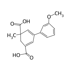 COc1cccc(C2=CC(C)(C(=O)O)CC(C(=O)O)=C2)c1